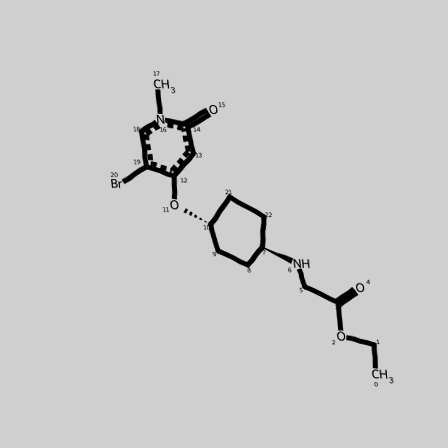 CCOC(=O)CN[C@H]1CC[C@H](Oc2cc(=O)n(C)cc2Br)CC1